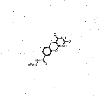 CCCCCNC(=O)c1ccc2c(c1)Oc1[nH]c(=O)[nH]c(=O)c1C2